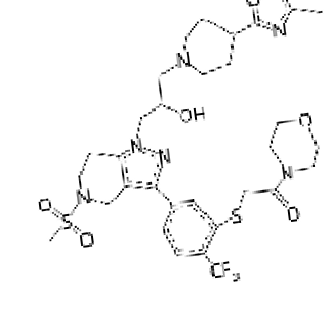 Cc1noc(C2CCN(CC(O)Cn3nc(-c4ccc(C(F)(F)F)c(SCC(=O)N5CCOCC5)c4)c4c3CCN(S(C)(=O)=O)C4)CC2)n1